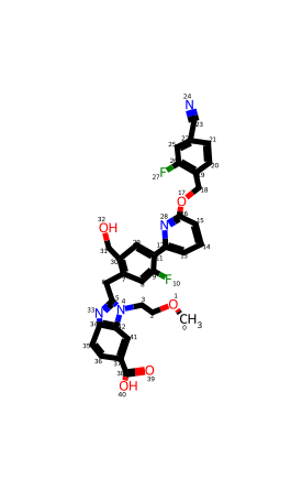 COCCn1c(Cc2cc(F)c(-c3cccc(OCc4ccc(C#N)cc4F)n3)cc2CO)nc2ccc(C(=O)O)cc21